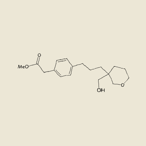 COC(=O)Cc1ccc(CCCC2(CO)CCCOC2)cc1